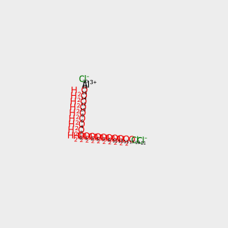 O.O.O.O.O.O.O.O.O.O.O.O.O.O.O.O.O.O.[Al+3].[Cl-].[Cl-].[Cl-]